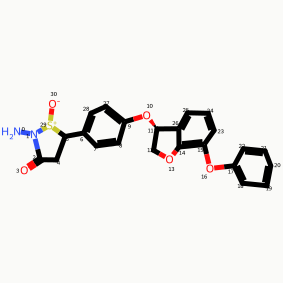 NN1C(=O)CC(c2ccc(O[C@@H]3COc4c(Oc5ccccc5)cccc43)cc2)[S+]1[O-]